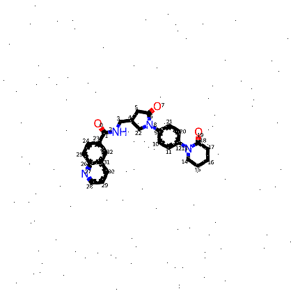 O=C(NCC1CC(=O)N(c2ccc(N3CCCCC3=O)cc2)C1)c1ccc2ncccc2c1